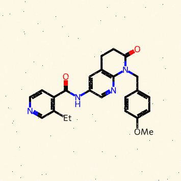 CCc1cnccc1C(=O)Nc1cnc2c(c1)CCC(=O)N2Cc1ccc(OC)cc1